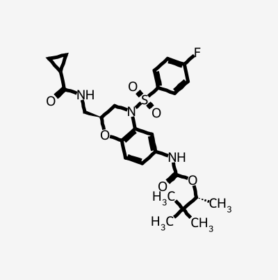 C[C@@H](OC(=O)Nc1ccc2c(c1)N(S(=O)(=O)c1ccc(F)cc1)C[C@H](CNC(=O)C1CC1)O2)C(C)(C)C